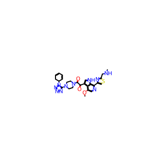 CNCc1nc(-c2ncc(OC)c3c(C(=O)C(=O)N4CCN(c5nnnn5C5C=CC=CC5)CC4)c[nH]c23)cs1